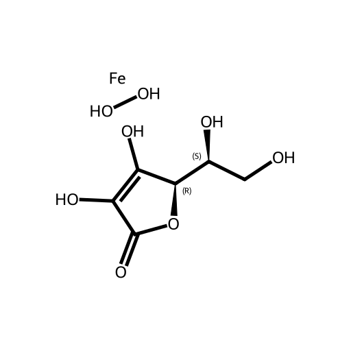 O=C1O[C@H]([C@@H](O)CO)C(O)=C1O.OO.[Fe]